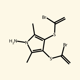 C=C(Br)Sc1c(SC(=C)Br)c(C)n(N)c1C